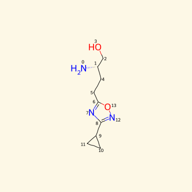 N[C@H](CO)CCc1nc(C2CC2)no1